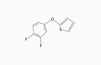 Fc1ccc(Oc2c[c]cs2)cc1F